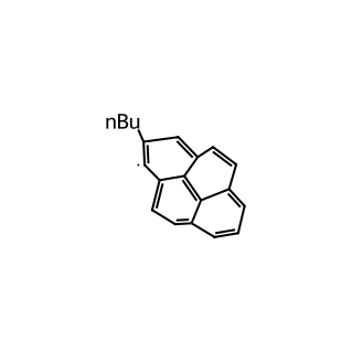 CCCCc1[c]c2ccc3cccc4ccc(c1)c2c34